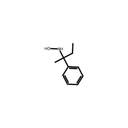 CCC(C)(NO)c1ccccc1